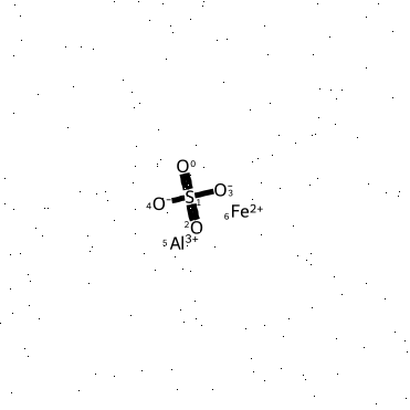 O=S(=O)([O-])[O-].[Al+3].[Fe+2]